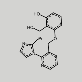 CC(C)c1nccn1-c1ncccc1COc1cccc(O)c1CO